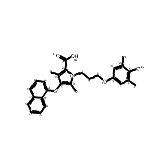 Cc1cc(OCCCn2c(C)c(Sc3cccc4ccccc34)c(C)c2C(=O)O)cc(C)c1Cl